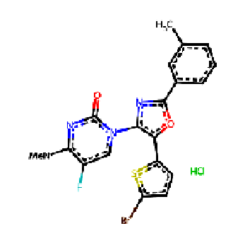 CNc1nc(=O)n(-c2nc(-c3cccc(C)c3)oc2-c2ccc(Br)s2)cc1F.Cl